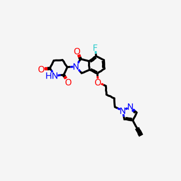 C#Cc1cnn(CCCCOc2ccc(F)c3c2CN(C2CCC(=O)NC2=O)C3=O)c1